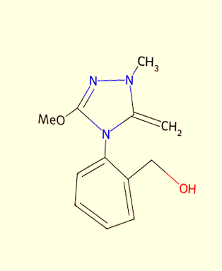 C=C1N(C)N=C(OC)N1c1ccccc1CO